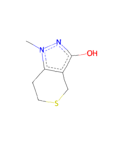 Cn1nc(O)c2c1CCSC2